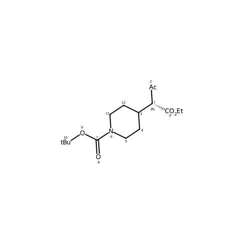 CCOC(=O)[C@@H](C(C)=O)C1CCN(C(=O)OC(C)(C)C)CC1